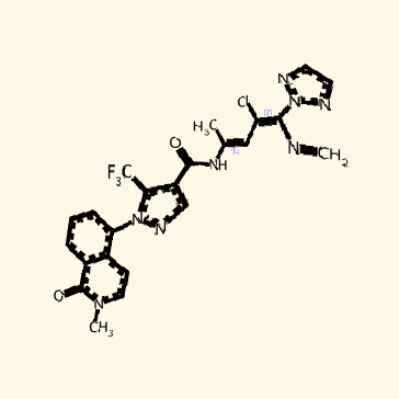 C=N/C(=C(Cl)\C=C(/C)NC(=O)c1cnn(-c2cccc3c(=O)n(C)ccc23)c1C(F)(F)F)n1nccn1